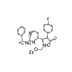 CCOCn1oc(=O)c(-c2ccc(F)cc2)c1-c1ccnc(N[C@@H](C)c2ccccc2)n1